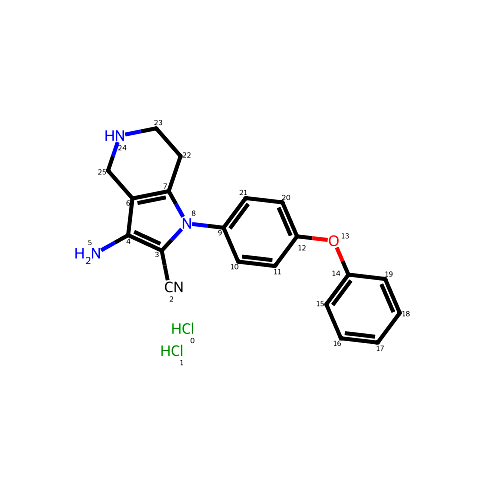 Cl.Cl.N#Cc1c(N)c2c(n1-c1ccc(Oc3ccccc3)cc1)CCNC2